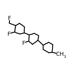 CC1CCC(C2CCC(C3CCC(CF)C(F)C3)C(F)C2)CC1